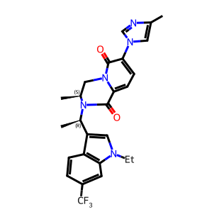 CCn1cc([C@@H](C)N2C(=O)c3ccc(-n4cnc(C)c4)c(=O)n3C[C@@H]2C)c2ccc(C(F)(F)F)cc21